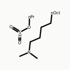 CCCCCCCCCCCCN(C)C.CCCO[SH](=O)=O